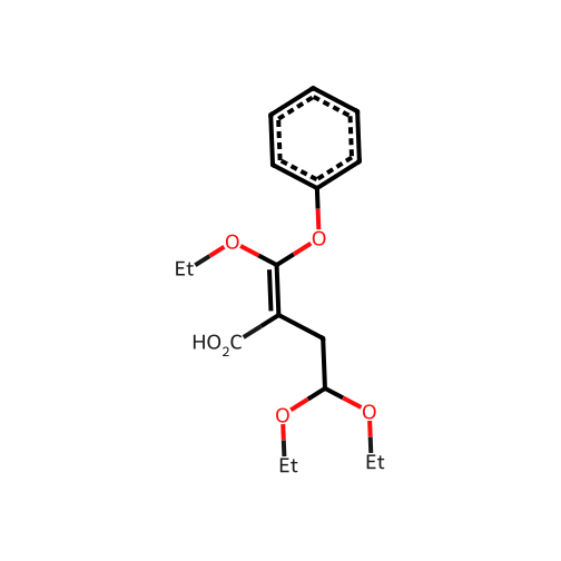 CCOC(Oc1ccccc1)=C(CC(OCC)OCC)C(=O)O